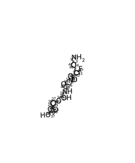 NCc1ccc(-c2cc(S(=O)(=O)N3CCC4(CC3)CC(NCC(O)COc3cccc(S(=O)(=O)C5(CO)CC5)c3)CO4)ccc2F)cc1